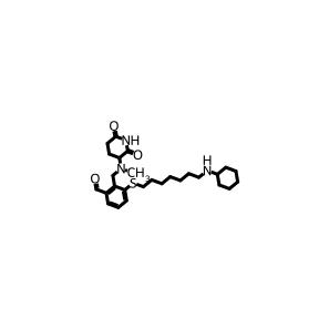 CN(Cc1c(C=O)cccc1SCCCCCCCNC1CCCCC1)C1CCC(=O)NC1=O